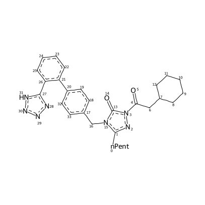 CCCCCc1nn(C(=O)CC2CCCCC2)c(=O)n1Cc1ccc(-c2ccccc2-c2nnn[nH]2)cc1